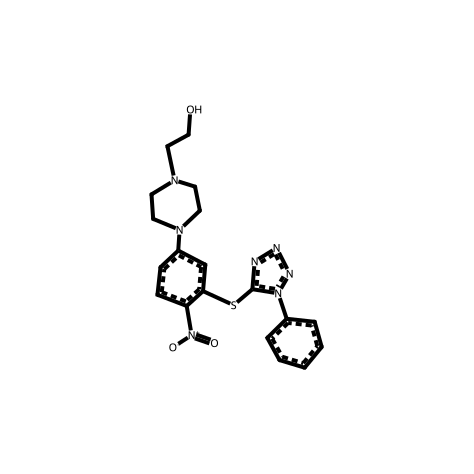 O=[N+]([O-])c1ccc(N2CCN(CCO)CC2)cc1Sc1nnnn1-c1ccccc1